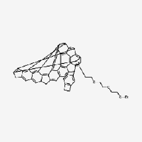 CCOCCOCCOCCN1CC2C3=c4c5c6c7c(cc8cc9c%10c%11c%12c%13c(cc%14c%15c(c4c4c5c5c7c8c%10c5c%12c4c%15%13)=C(C3)C%14)=CC%11C9)CC62C1c1ccc2c(c1)CC2